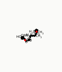 COc1cc(C=CC(=O)OCC(=O)OCC=C(C)C=CC=C(C)C=CC2=C(C)CCCC2(C)C)ccc1O